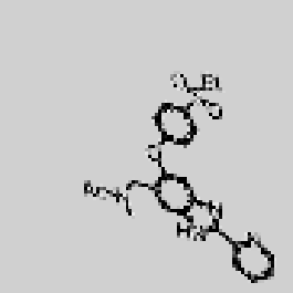 CCS(=O)(=O)c1ccc(Oc2cc3nc(-c4ccccn4)[nH]c3cc2CN(C)C(C)=O)cc1